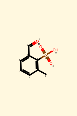 Cc1cccc(C=O)c1S(=O)(=O)O